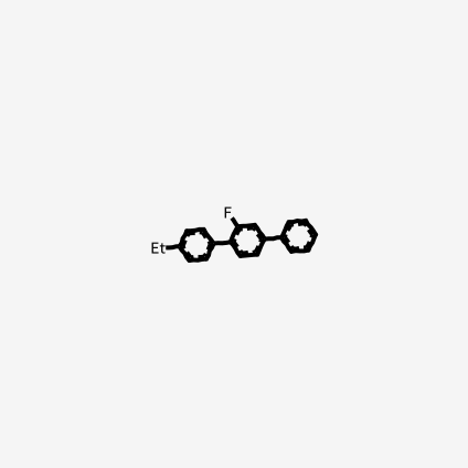 CCc1ccc(-c2ccc(-c3ccccc3)cc2F)cc1